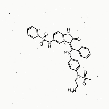 CS(=O)(=O)N(CCN)c1ccc(NC(=C2C(=O)Nc3ccc(NS(=O)(=O)c4ccccc4)cc32)c2ccccc2)cc1